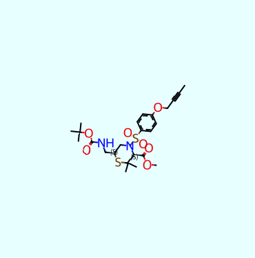 CC#CCOc1ccc(S(=O)(=O)N2C[C@H](CNC(=O)OC(C)(C)C)SC(C)(C)[C@@H]2C(=O)OC)cc1